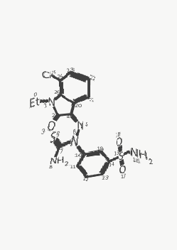 CCN1C(=O)/C(=N\N(C(N)=S)c2cccc(S(N)(=O)=O)c2)c2cccc(Cl)c21